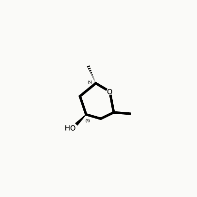 CC1C[C@@H](O)C[C@H](C)O1